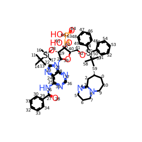 C1CCC2=NCCCN2CC1.CC(C)(C)[Si](C)(C)O[C@H]1[C@H](n2cnc3c(NC(=O)c4ccccc4)ncnc32)O[C@H](CO[Si](c2ccccc2)(c2ccccc2)C(C)(C)C)[C@]1(O)O[PH](=O)O